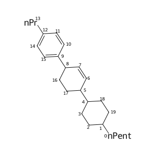 CCCCCC1CCC(C2C=CC(c3ccc(CCC)cc3)CC2)CC1